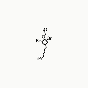 CC(C)CCCCCc1cc(Br)c(OCC2CO2)c(Br)c1